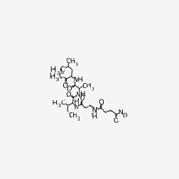 CCC(C)C(NC(=O)CCNC(=O)CCC(=O)N=O)C(=O)NC(C)C(=O)NC(CC(C)C)C(C)=O